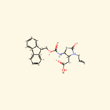 C=CCN1C(=O)CC(NC(=O)OCC2c3ccccc3-c3ccccc32)C1CC(=O)O